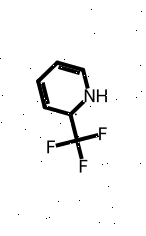 FC(F)(F)[C]1C=CC=CN1